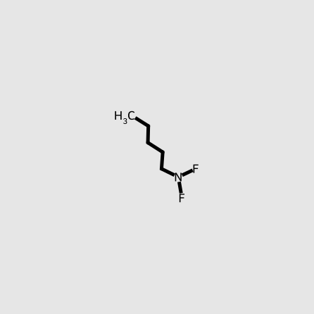 CCCCCN(F)F